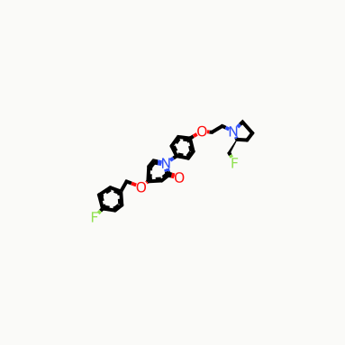 O=c1cc(OCc2ccc(F)cc2)ccn1-c1ccc(OCCN2CCC[C@H]2CF)cc1